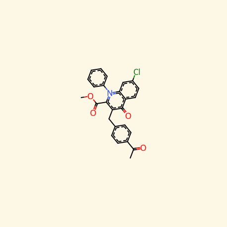 COC(=O)c1c(Cc2ccc(C(C)=O)cc2)c(=O)c2ccc(Cl)cc2n1-c1ccccc1